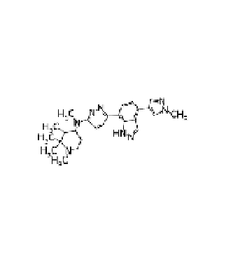 CC1C(N(C)c2ccc(-c3ccc(-c4cnn(C)c4)c4cn[nH]c34)nn2)CCN(C)C1(C)C